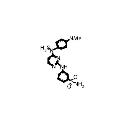 CNc1ccc(N(C)c2ccnc(Nc3cccc(S(N)(=O)=O)c3)n2)cc1